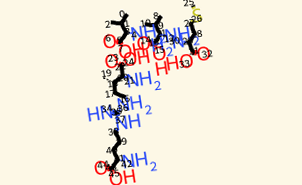 CC(C)[C@H](N)C(=O)O.CC(C)[C@H](N)C(=O)O.CC[C@H](C)[C@H](N)C(=O)O.CSCC[C@H](N)C(=O)O.N=C(N)NCCC[C@H](N)C(=O)O